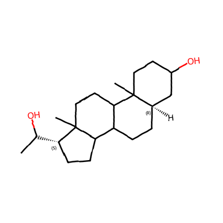 CC(O)[C@H]1CCC2C3CC[C@@H]4CC(O)CCC4(C)C3CCC21C